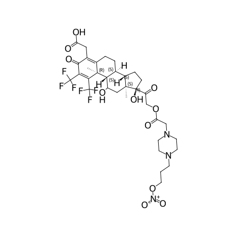 C[C@@]12C(=C(CC(=O)O)C(=O)C(C(F)(F)F)=C1C(F)(F)F)CC[C@@H]1[C@@H]2C(O)C[C@@]2(C)[C@H]1CC[C@]2(O)C(=O)COC(=O)CN1CCN(CCCO[N+](=O)[O-])CC1